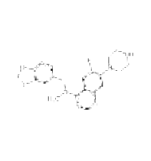 CN(Cc1ccc2c(c1)OCO2)c1ncnc2cc(N3CCNCC3)c(F)cc12